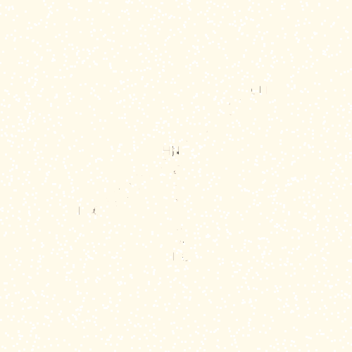 CCCCCCCCCCCCCCNC(CCCCCCCCCCCCC)CCCCCCCCCCCCCC